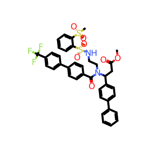 COC(=O)CC(c1ccc(-c2ccccc2)cc1)N(CCNS(=O)(=O)c1ccccc1S(C)(=O)=O)C(=O)c1ccc(-c2ccc(C(F)(F)F)cc2)cc1